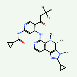 [2H]C([2H])([2H])CC(=O)c1cnc(NC(=O)C2CC2)cc1Nc1nccc2c1N(C)[C@H](C)c1c-2nc(C2CC2)n1C